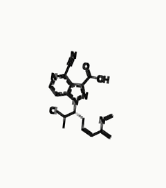 C=NC(=C)/C=C\C[C@H](C(C)Cl)n1nc(C(=O)O)c2c(C#N)nccc21